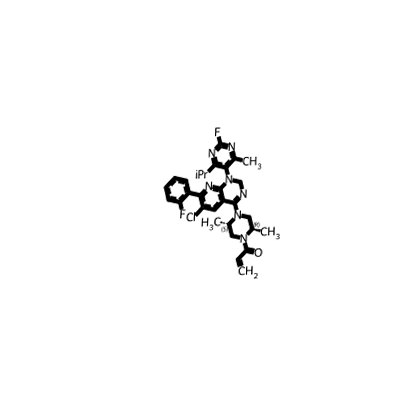 C=CC(=O)N1C[C@H](C)N(C2=NCN(c3c(C)nc(F)nc3C(C)C)c3nc(-c4ccccc4F)c(Cl)cc32)C[C@H]1C